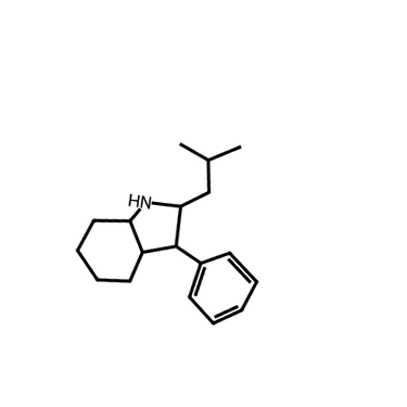 CC(C)CC1NC2CCCCC2C1c1ccccc1